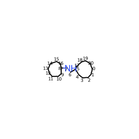 C1CCCCC(CNC2CCCCCCCC2)CCCC1